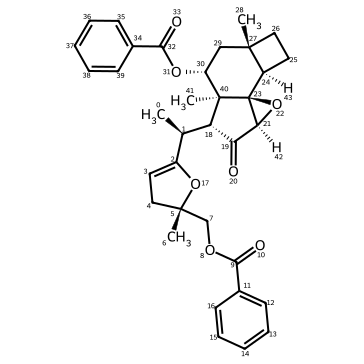 C[C@H](C1=CC[C@@](C)(COC(=O)c2ccccc2)O1)[C@H]1C(=O)[C@@H]2O[C@@]23[C@@H]2CC[C@@]2(C)C[C@@H](OC(=O)c2ccccc2)[C@]13C